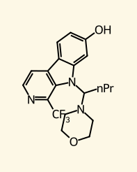 CCCC(N1CCOCC1)n1c2cc(O)ccc2c2ccnc(C(F)(F)F)c21